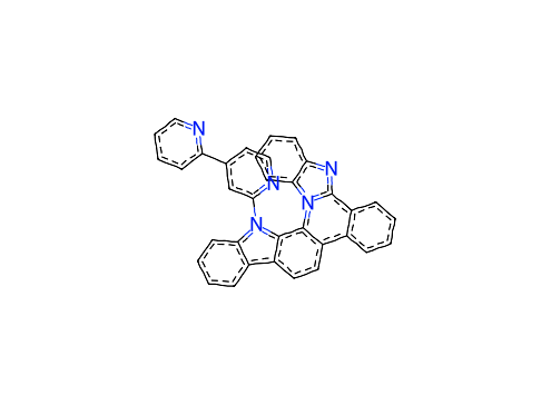 c1ccc(-c2ccnc(-n3c4ccccc4c4ccc5c6ccccc6c6nc7ccccc7n6c5c43)c2)nc1